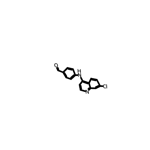 O=Cc1ccc(Nc2ccnc3cc(Cl)ccc23)cc1